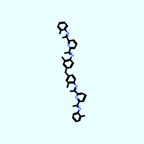 C/C(=N\c1ccccc1C)c1cccc(/C(C)=N/c2ccc(Cc3ccc(/N=C(\C)c4cccc(/C(C)=N/c5ccccc5C)n4)c(C)c3)cc2C)n1